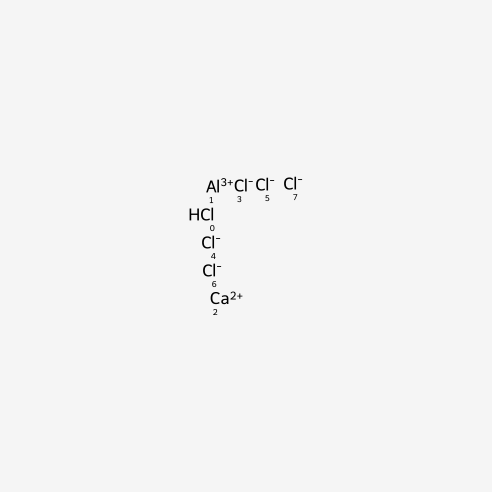 Cl.[Al+3].[Ca+2].[Cl-].[Cl-].[Cl-].[Cl-].[Cl-]